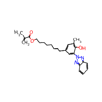 C=C(C)C(=O)OCCCCCCCCc1cc(C)c(O)c(-n2nc3ccccc3n2)c1